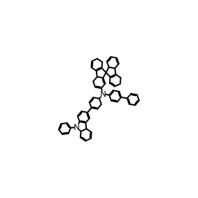 C1=CC2C3=C(C=CCC3)C3(C4=CC(N(c5ccc(-c6ccccc6)cc5)C5C=CC(c6ccc7c(c6)C6C=CC=CC6N7c6ccccc6)=CC5)=CCC4C4=C3CCC=C4)C2C=C1